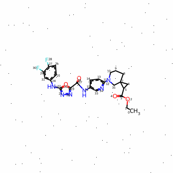 CCOC(=O)C1CC12CCCN(c1ccc(NC(=O)c3nnc(Nc4ccc(F)c(F)c4)o3)cn1)C2